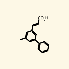 Cc1cc(/C=C/C(=O)O)cc(-c2ccccc2)c1